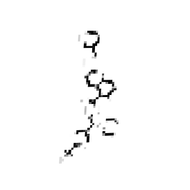 O=C(NCC(c1cnc(C(F)(F)F)nc1)N1CCOCC1)c1c(Cl)ccc2nc(NCc3cccnc3)ccc12